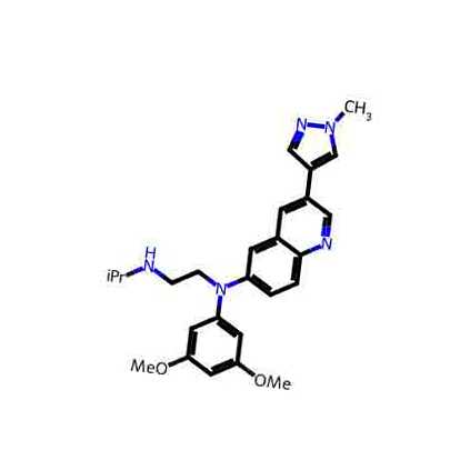 COc1cc(OC)cc(N(CCNC(C)C)c2ccc3ncc(-c4cnn(C)c4)cc3c2)c1